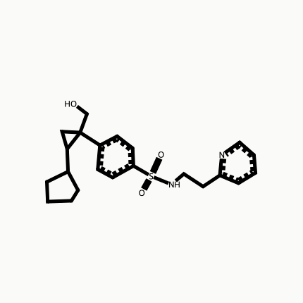 O=S(=O)(NCCc1ccccn1)c1ccc(C2(CO)CC2C2CCCC2)cc1